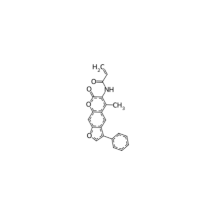 C=CC(=O)Nc1c(C)c2cc3c(-c4ccccc4)coc3cc2oc1=O